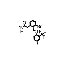 CNC(=O)Cc1cccc(Br)c1COc1ccc(C)cc1C(F)(F)F